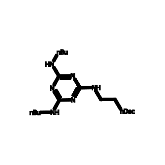 CCCCCCCCCCCCNc1nc(NCCCC)nc(NCCCC)n1